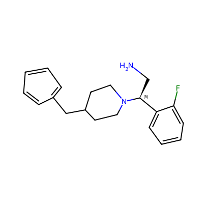 NC[C@@H](c1ccccc1F)N1CCC(Cc2ccccc2)CC1